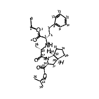 CCOC(=O)[C@H](CCc1ccccc1)N[C@@H](C)C(=O)N1[C@H](C(=O)OC(C)C)C[C@@H]2CCC[C@@H]21